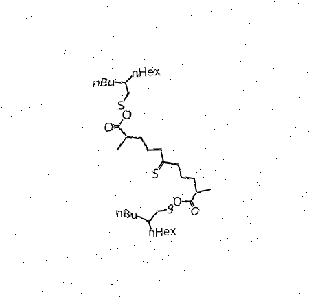 CCCCCCC(CCCC)CSOC(=O)C(C)CCCC(=S)CCCC(C)C(=O)OSCC(CCCC)CCCCCC